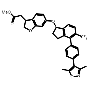 COC(=O)CC1COc2cc(O[C@@H]3CCc4c3ccc(C(F)(F)F)c4-c3ccc(-c4c(C)noc4C)cc3)ccc21